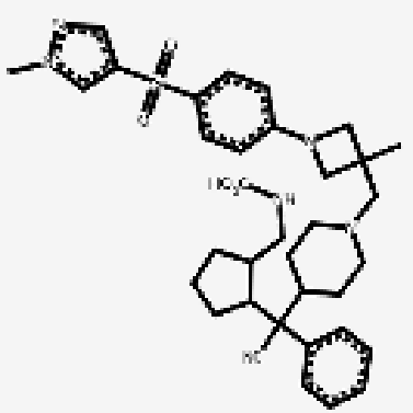 Cn1cc(S(=O)(=O)c2ccc(N3CC(C)(CN4CCC(C(C#N)(c5ccccc5)C5CCCC5CNC(=O)O)CC4)C3)cc2)cn1